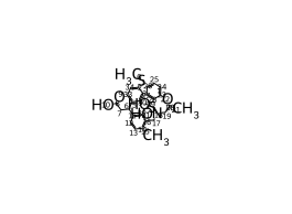 CSc1ccc(C(CC(=O)O)c2ccc(C)c(CN3C[C@@H](C)Oc4ccccc4S3(O)O)c2)cc1